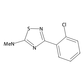 CNc1nc(-c2ccccc2Cl)ns1